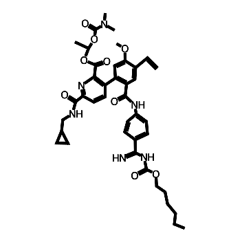 C=Cc1cc(C(=O)Nc2ccc(C(=N)NC(=O)OCCCCCC)cc2)c(-c2ccc(C(=O)NCC3CC3)nc2C(=O)OC(C)OC(=O)N(C)C)cc1OC